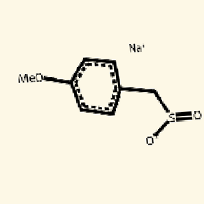 COc1ccc(CS(=O)[O-])cc1.[Na+]